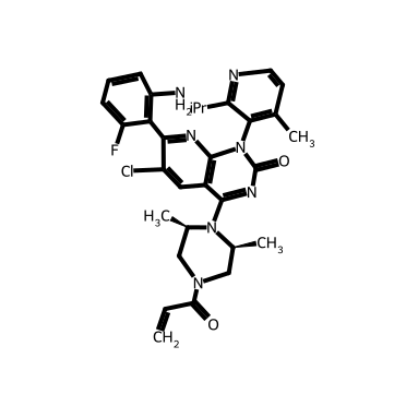 C=CC(=O)N1C[C@@H](C)N(c2nc(=O)n(-c3c(C)ccnc3C(C)C)c3nc(-c4c(N)cccc4F)c(Cl)cc23)[C@@H](C)C1